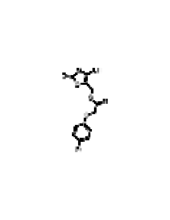 CCc1ccc(OCC(=O)OCc2oc(=O)oc2C)cc1